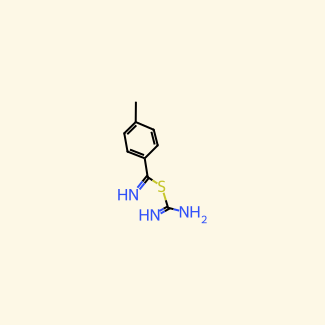 Cc1ccc(C(=N)SC(=N)N)cc1